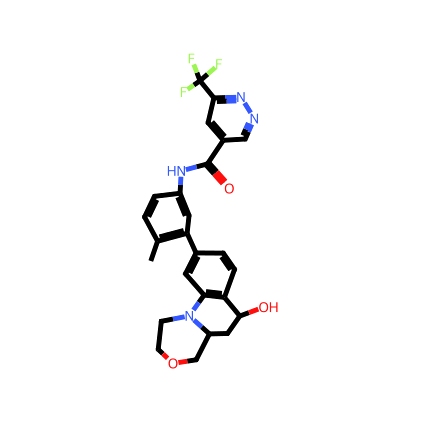 Cc1ccc(NC(=O)c2cnnc(C(F)(F)F)c2)cc1-c1ccc2c(c1)N1CCOCC1CC2O